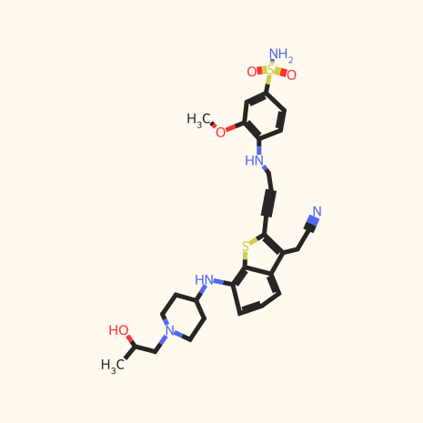 COc1cc(S(N)(=O)=O)ccc1NCC#Cc1sc2c(NC3CCN(CC(C)O)CC3)cccc2c1CC#N